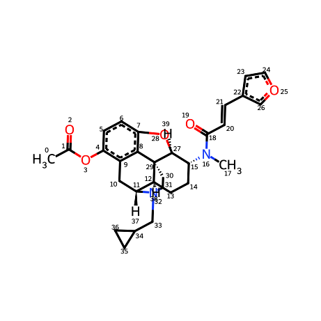 CC(=O)Oc1ccc2c3c1C[C@@H]1[C@@H]4CC[C@@H](N(C)C(=O)/C=C/c5ccoc5)[C@H](O2)[C@]34CCN1CC1CC1